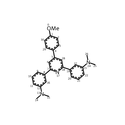 COc1ccc(-c2cc(-c3cccc(N(C)C)c3)nc(-c3cccc(N(C)C)c3)c2)cc1